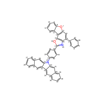 c1ccc(-c2cc3oc4ccccc4c3c3oc(-c4ccc(-n5c6cc7ccccc7cc6c6cc7ccccc7cc65)cc4)nc23)cc1